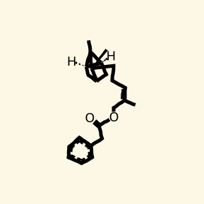 C/C(=C/CC[C@]1(C)C2C[C@@H]3[C@H](C2)C31C)COC(=O)Cc1ccccc1